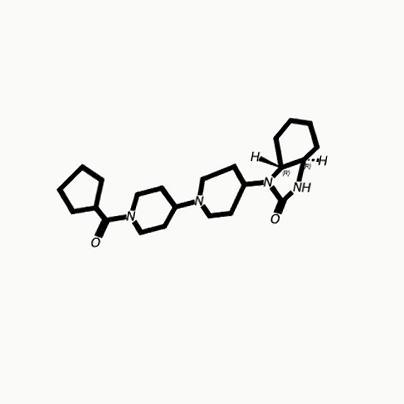 O=C(C1CCCC1)N1CCC(N2CCC(N3C(=O)N[C@@H]4CCCC[C@H]43)CC2)CC1